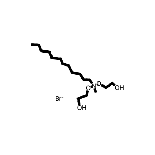 CCCCCCCCCCCC[N+](C)(OCCO)OCCO.[Br-]